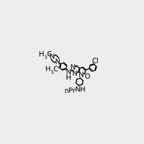 CCCN[C@H]1CC[C@H](n2c(=O)c(-c3cccc(Cl)c3)cc3cnc(Nc4ccc(N5CCN(C)CC5)c(C)c4)nc32)CC1